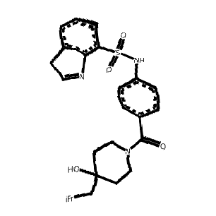 CC(C)CC1(O)CCN(C(=O)c2ccc(NS(=O)(=O)c3cccc4c3N=CC4)cc2)CC1